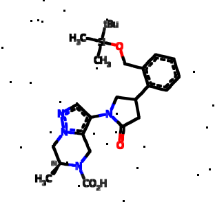 C[C@H]1Cn2ncc(N3CC(c4ccccc4CO[Si](C)(C)C(C)(C)C)CC3=O)c2CN1C(=O)O